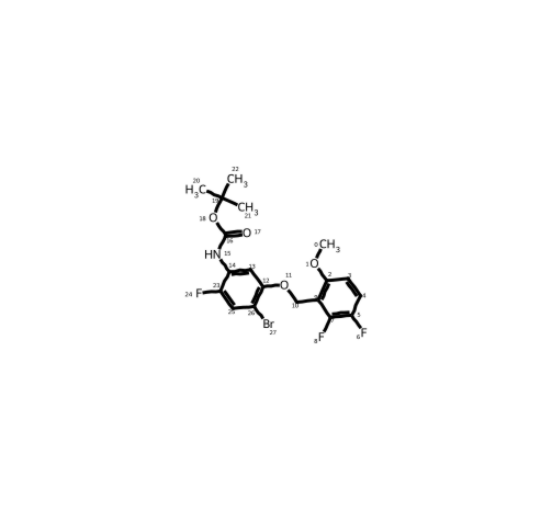 COc1ccc(F)c(F)c1COc1cc(NC(=O)OC(C)(C)C)c(F)cc1Br